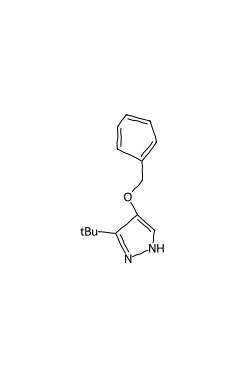 CC(C)(C)c1n[nH]cc1OCc1ccccc1